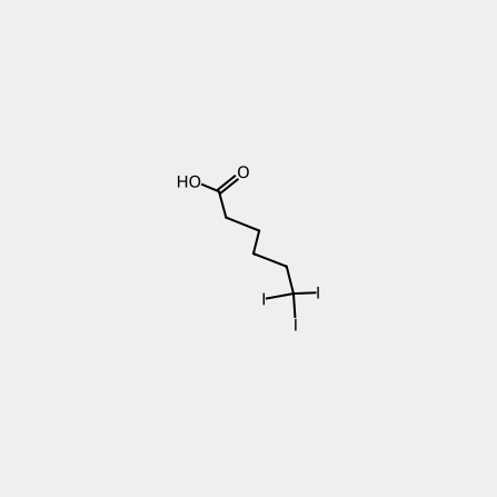 O=C(O)CCCCC(I)(I)I